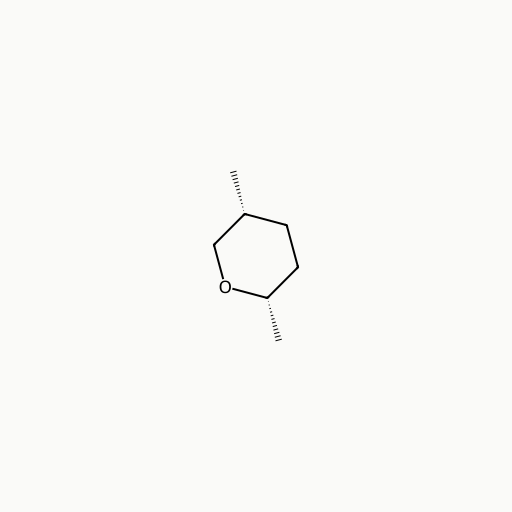 C[C@@H]1CC[C@H](C)OC1